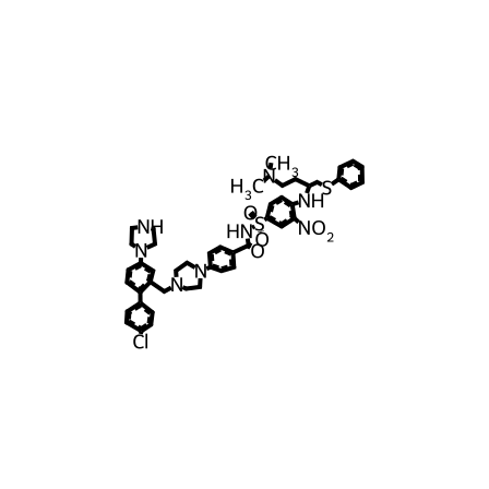 CN(C)CCC(CSc1ccccc1)Nc1ccc(S(=O)(=O)NC(=O)c2ccc(N3CCN(Cc4cc(N5CCNCC5)ccc4-c4ccc(Cl)cc4)CC3)cc2)cc1[N+](=O)[O-]